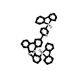 O=P1(c2ccc(-c3ccc4c(c3)c3ccccc3c3nc5cccc(P6(=O)c7ccccc7-c7ccccc76)c5n43)nc2)c2ccccc2-c2ccccc21